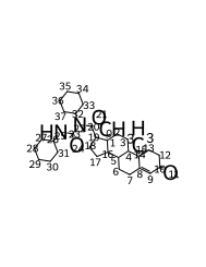 C[C@]12CCC3C(CCC4=CC(=O)CC[C@@]43C)C1CCC2C(=O)N(C(=O)NC1CCCCC1)C1CCCCC1